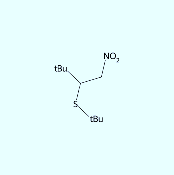 CC(C)(C)SC(C[N+](=O)[O-])C(C)(C)C